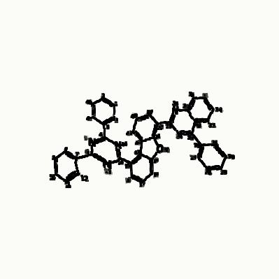 c1ccc(-c2nc(-c3ccccc3)nc(-c3cccc4oc5c(-c6cc(-c7ccccc7)c7ccccc7n6)cccc5c34)n2)cc1